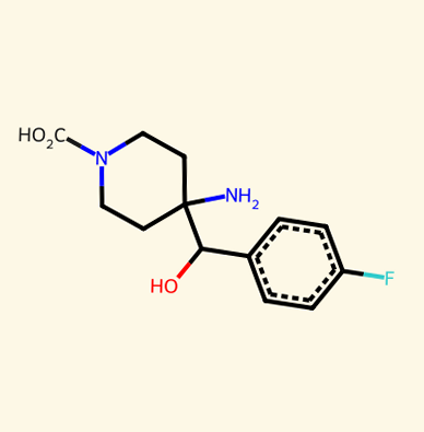 NC1(C(O)c2ccc(F)cc2)CCN(C(=O)O)CC1